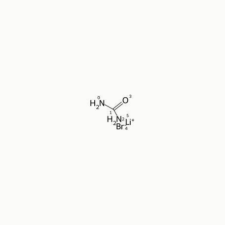 NC(N)=O.[Br-].[Li+]